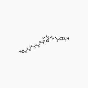 O=C(O)CCCCC1CCC(CCCCCCCCCO)O1